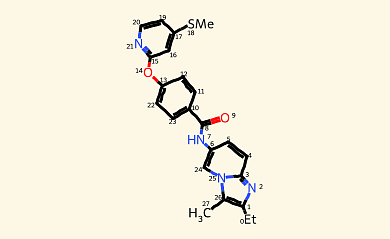 CCc1nc2ccc(NC(=O)c3ccc(Oc4cc(SC)ccn4)cc3)cn2c1C